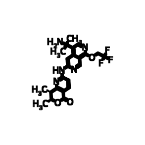 C[C@@H]1OC(=O)c2ccc(Nc3cc4c(C(C)(C)N)cnc(OCC(F)(F)F)c4cn3)nc2[C@H]1C